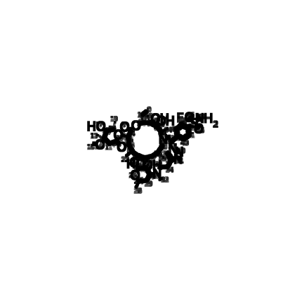 CC[C@H]1OC(=O)[C@H](C)[C@@H](O[C@H]2C[C@@](C)(OC)[C@@H](O)[C@H](C)O2)[C@H](C)[C@@H](O[C@@H]2O[C@H](C)C[C@H](N(C)CCc3cn(Cc4ccc(S(N)(=O)=O)c(F)c4)nn3)[C@H]2O)[C@](C)(O)C[C@@H](C)CN(C)[C@H](C)[C@@H](O)[C@]1(C)O